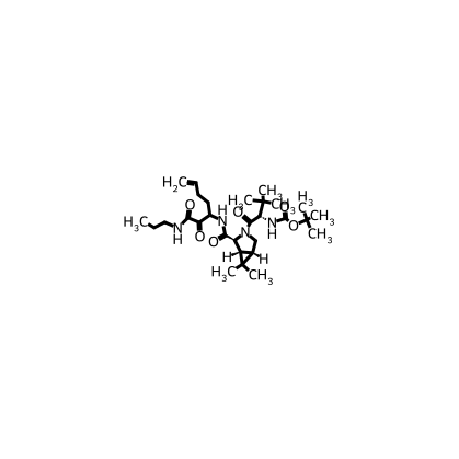 C=CCCC(NC(=O)[C@@H]1[C@@H]2[C@H](CN1C(=O)[C@@H](NC(=O)OC(C)(C)C)C(C)(C)C)C2(C)C)C(=O)C(=O)NCCC